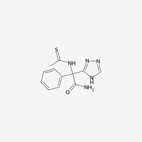 CC(=S)NC(C(N)=O)(c1ccccc1)c1nnc[nH]1